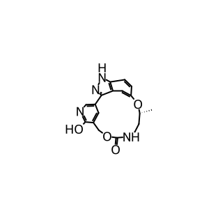 C[C@@H]1CCNC(=O)OCc2cc(cnc2O)-c2n[nH]c3ccc(cc23)O1